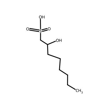 CCCCCCC(O)CS(=O)(=O)O